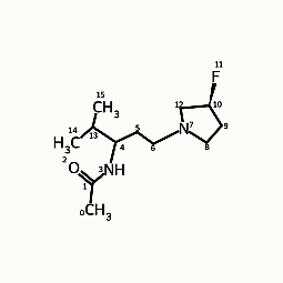 CC(=O)NC(CCN1CC[C@H](F)C1)C(C)C